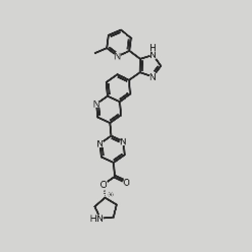 Cc1cccc(-c2[nH]cnc2-c2ccc3ncc(-c4ncc(C(=O)O[C@@H]5CCNC5)cn4)cc3c2)n1